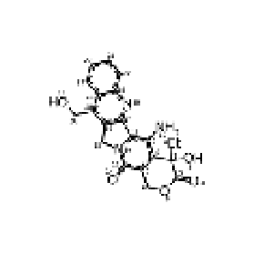 CCC1(O)C(=O)OCc2c1c(N)c1n(c2=O)Cc2c-1nc1ccccc1c2CO